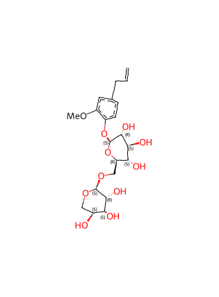 C=CCc1ccc(O[C@@H]2O[C@H](CO[C@@H]3OC[C@H](O)[C@H](O)[C@H]3O)[C@@H](O)[C@H](O)[C@H]2O)c(OC)c1